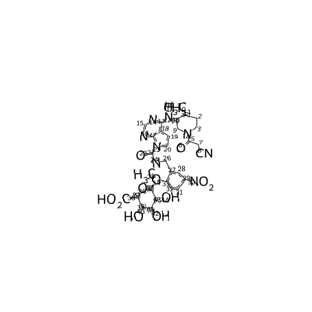 C[C@@H]1CCN(C(=O)CC#N)C[C@@H]1N(C)c1ncnc2c1ccn2C(=O)N(C)Cc1cc([N+](=O)[O-])ccc1O[C@@H]1O[C@H](C(=O)O)[C@@H](O)[C@H](O)[C@H]1O